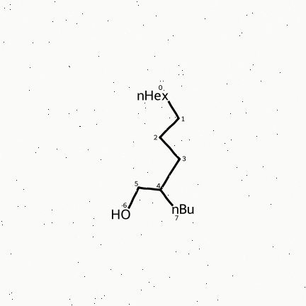 CCCCCCCCCC(CO)CCCC